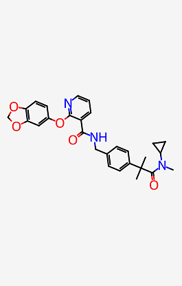 CN(C(=O)C(C)(C)c1ccc(CNC(=O)c2cccnc2Oc2ccc3c(c2)OCO3)cc1)C1CC1